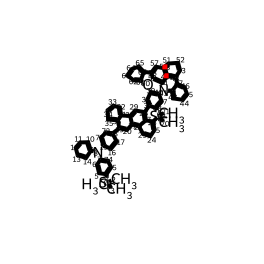 C[Si](C)(C)c1ccc(N(c2ccccc2)c2ccc(-c3cc4c5cccc6c5c(cc4c4ccccc34)-c3ccc(N(c4ccccc4-c4ccccc4)c4cccc5c4oc4ccccc45)cc3[Si]6(C)C)cc2)cc1